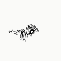 COc1ccc(CCNC(=O)C(N)=O)cc1OC(F)F